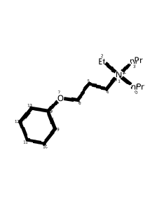 CCC[N+](CC)(CCC)CCCOC1CCCCC1